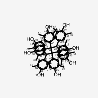 Cc1cc(C(c2ccc(O)c(C)c2)C(c2ccc(O)c(C)c2)(c2ccc(O)c(C)c2)C(c2cc(C)c(O)c(C)c2)(c2cc(C)c(O)c(C)c2)C(c2cc(C)c(O)c(C)c2)c2cc(C)c(O)c(C)c2)ccc1O